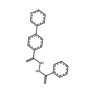 C=C(NNC(=C)c1ccc(-c2cccnc2)cc1)c1ccccc1